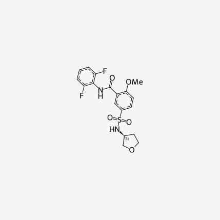 COc1ccc(S(=O)(=O)N[C@H]2CCOC2)cc1C(=O)Nc1c(F)cccc1F